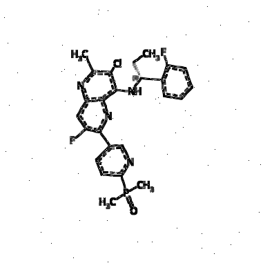 CC[C@@H](Nc1c(Cl)c(C)nc2cc(F)c(-c3ccc(P(C)(C)=O)nc3)nc12)c1ccccc1F